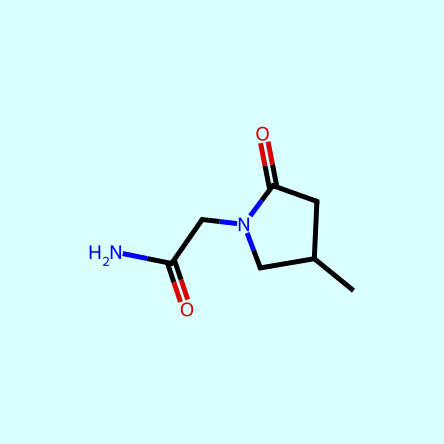 CC1CC(=O)N(CC(N)=O)C1